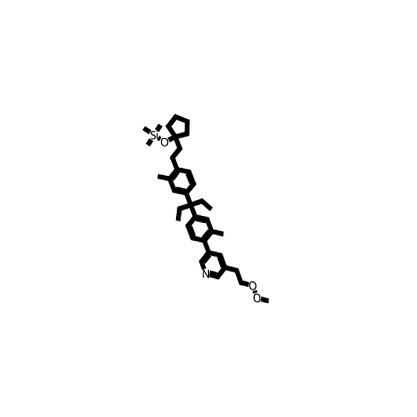 CCC(CC)(c1ccc(CCC2(O[Si](C)(C)C)CCCC2)c(C)c1)c1ccc(-c2cncc(CCOOC)c2)c(C)c1